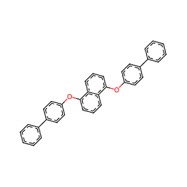 c1ccc(-c2ccc(Oc3cccc4c(Oc5ccc(-c6ccccc6)cc5)cccc34)cc2)cc1